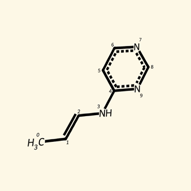 CC=CNc1ccncn1